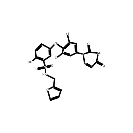 O=c1cnn(-c2cc(Cl)c(Oc3ccc(O)c(S(=O)(=O)NCc4ccco4)c3)c(Cl)c2)c(=O)[nH]1